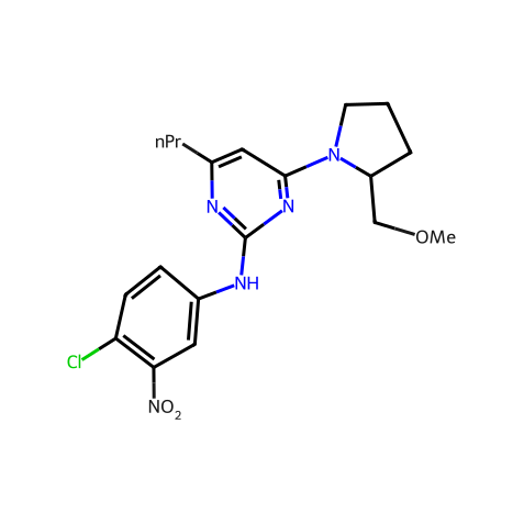 CCCc1cc(N2CCCC2COC)nc(Nc2ccc(Cl)c([N+](=O)[O-])c2)n1